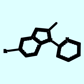 Cc1cc2cc(Br)ccc2n1-c1ccccn1